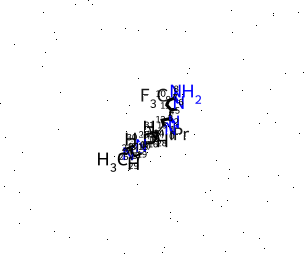 CC(C)n1nc(-c2cnc(N)c(C(F)(F)F)c2)cc1[C@H]1[C@@H]2C[C@H](N3C[C@@H]4C[C@H]3CN4C)C[C@@H]21